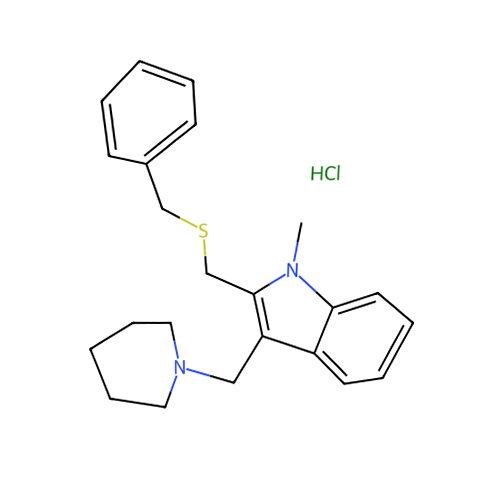 Cl.Cn1c(CSCc2ccccc2)c(CN2CCCCC2)c2ccccc21